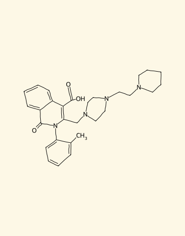 Cc1ccccc1-n1c(CN2CCN(CCN3CCCCC3)CC2)c(C(=O)O)c2ccccc2c1=O